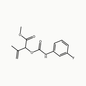 C=C(C)C(OC(=O)Nc1cccc(F)c1)C(=O)OC